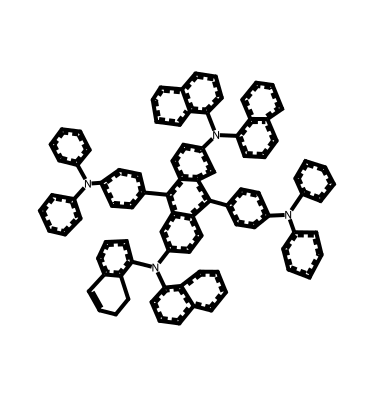 C1=Cc2cccc(N(c3ccc4c(-c5ccc(N(c6ccccc6)c6ccccc6)cc5)c5cc(N(c6cccc7ccccc67)c6cccc7ccccc67)ccc5c(-c5ccc(N(c6ccccc6)c6ccccc6)cc5)c4c3)c3cccc4ccccc34)c2CC1